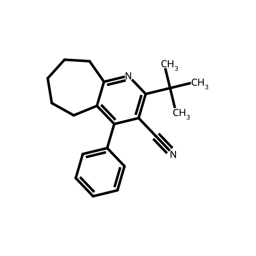 CC(C)(C)c1nc2c(c(-c3ccccc3)c1C#N)CCCCC2